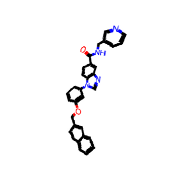 O=C(NCc1cccnc1)c1ccc2c(c1)ncn2-c1cccc(OCc2ccc3ccccc3c2)c1